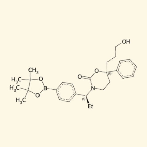 CC[C@@H](c1ccc(B2OC(C)(C)C(C)(C)O2)cc1)N1CC[C@](CCCO)(c2ccccc2)OC1=O